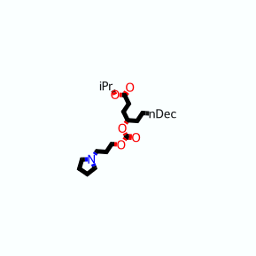 [CH2]C([CH2])OC(=O)CCC(CCCCCCCCCCCC)OC(=O)OCCCN1CCCC1